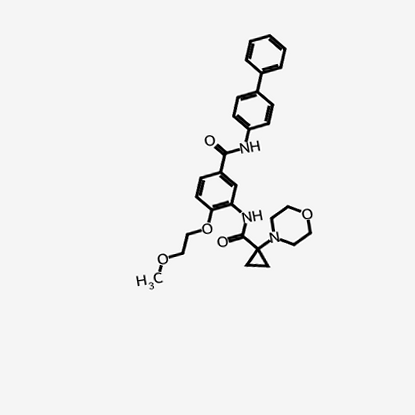 COCCOc1ccc(C(=O)Nc2ccc(-c3ccccc3)cc2)cc1NC(=O)C1(N2CCOCC2)CC1